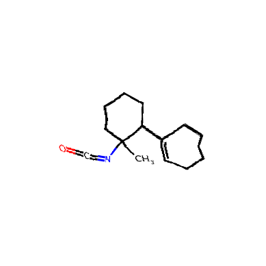 CC1(N=C=O)CCCCC1C1=CCCCC1